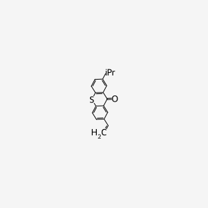 C=Cc1ccc2sc3ccc(C(C)C)cc3c(=O)c2c1